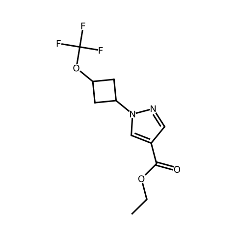 CCOC(=O)c1cnn(C2CC(OC(F)(F)F)C2)c1